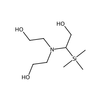 C[Si](C)(C)C(CO)N(CCO)CCO